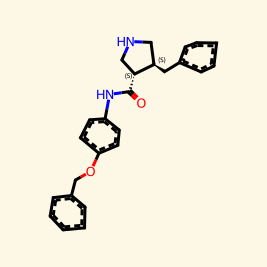 O=C(Nc1ccc(OCc2ccccc2)cc1)[C@@H]1CNC[C@H]1Cc1ccccc1